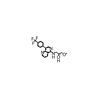 COC[C@H](O)CNc1ncc(-c2ccc(C(F)(F)F)cc2)c2ncccc12